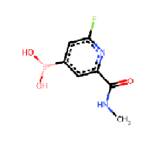 CNC(=O)c1cc(B(O)O)cc(F)n1